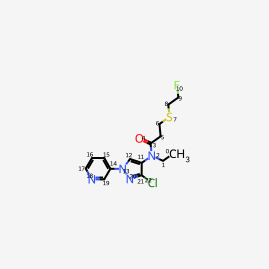 CCN(C(=O)CCSCCF)c1cn(-c2cccnc2)nc1Cl